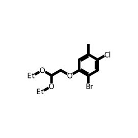 CCOC(COc1cc(C)c(Cl)cc1Br)OCC